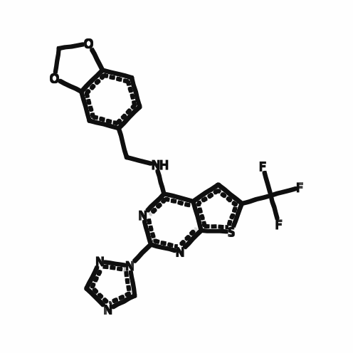 FC(F)(F)c1cc2c(NCc3ccc4c(c3)OCO4)nc(-n3cncn3)nc2s1